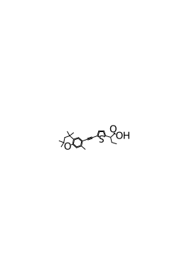 CCC(C(=O)O)c1ccc(C#Cc2cc3c(cc2C)OC(C)(C)CC3(C)C)s1